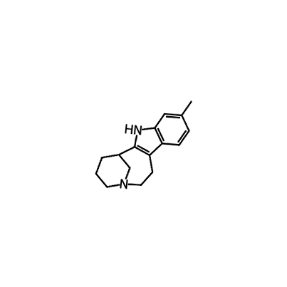 Cc1ccc2c3c([nH]c2c1)C1CCCN(CC3)C1